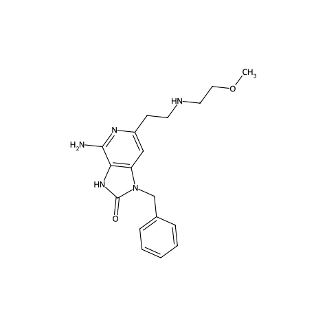 COCCNCCc1cc2c([nH]c(=O)n2Cc2ccccc2)c(N)n1